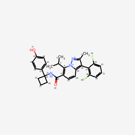 Cc1nn2c(C(C)C)c(C(=O)NC3(c4ccc(O)cc4)CCC3)ccc2c1-c1c(F)cccc1F